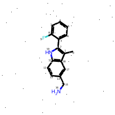 Cc1c(-c2ccccc2F)[nH]c2ccc(CN)cc12